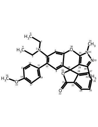 CCN(CC)c1cc2c(cc1-c1ccc(OC)cc1)C1(OC(=O)c3ccccc31)c1c(C)nn(C)c1O2